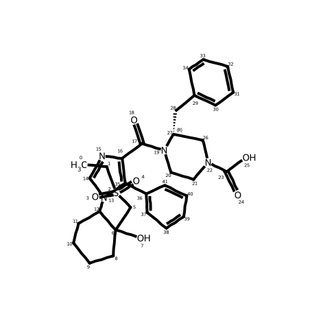 CCS(=O)(=O)CC1(O)CCCCC1n1cnc(C(=O)N2CCN(C(=O)O)C[C@H]2Cc2ccccc2)c1-c1ccccc1